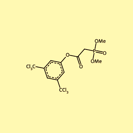 COP(=O)(CC(=O)Oc1cc(C(Cl)(Cl)Cl)cc(C(Cl)(Cl)Cl)c1)OC